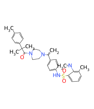 C=Nc1c(C)cccc1S(=O)(=O)Nc1ccc(C(=C)N2CCN(C(=O)C(C)(C)c3ccc(C)cc3)CC2)cc1